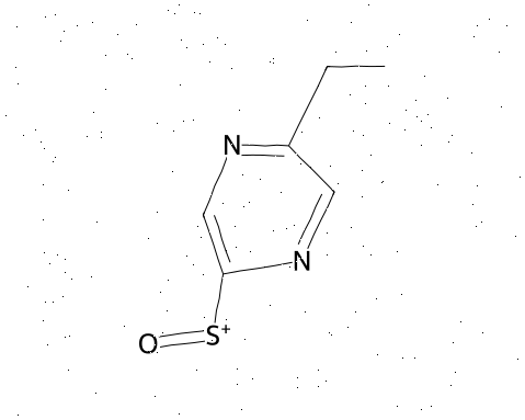 CCc1cnc([S+]=O)cn1